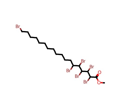 COC(=O)C(Br)C(Br)C(Br)C(Br)C(Br)CCCCCCCCCCCCBr